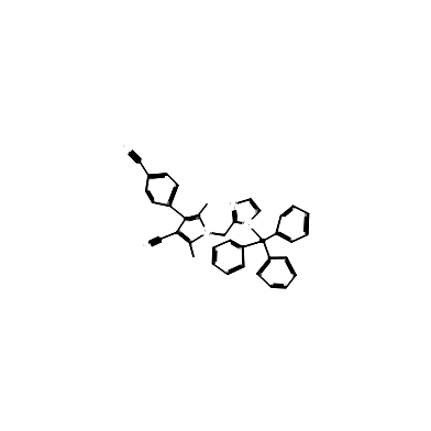 Cc1c(C#N)c(-c2ccc(C#N)cc2)c(C)n1Cc1nccn1C(c1ccccc1)(c1ccccc1)c1ccccc1